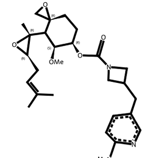 CNc1ccc(CC2CN(C(=O)O[C@@H]3CC[C@]4(CO4)C([C@@]4(C)O[C@@H]4CC=C(C)C)[C@@H]3OC)C2)cn1